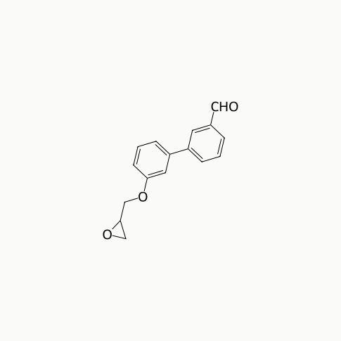 O=Cc1cccc(-c2cccc(OCC3CO3)c2)c1